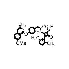 COc1ccc2cc(C)nc(Oc3ccc(C[C@H](Nc4c(N5C(C)CCC5C)c(=O)c4=O)C(=O)O)cc3)c2c1